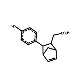 O=C(O)CC1C2C=CC(C2)C1c1ccc(S)cc1